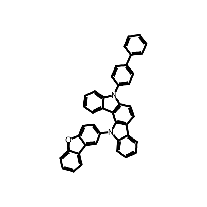 c1ccc(-c2ccc(-n3c4ccccc4c4c3ccc3c5ccccc5n(-c5ccc6oc7ccccc7c6c5)c34)cc2)cc1